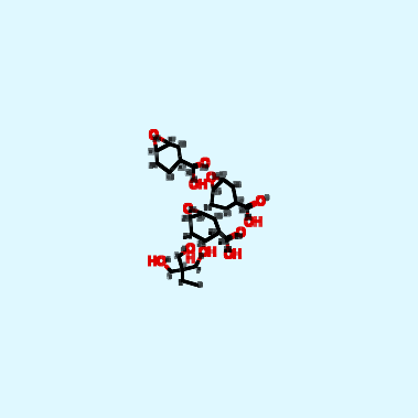 CCC(CO)(CO)CO.O=C(O)C1CCC2OC2C1.O=C(O)C1CCC2OC2C1.O=C(O)C1CCC2OC2C1